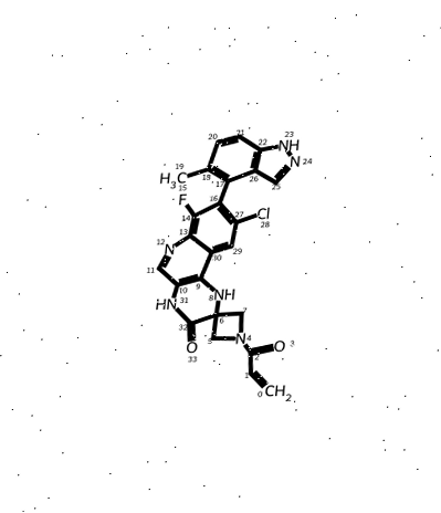 C=CC(=O)N1CC2(C1)Nc1c(cnc3c(F)c(-c4c(C)ccc5[nH]ncc45)c(Cl)cc13)NC2=O